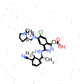 Cc1c(C#N)cccc1[C@@H](C)Nc1nnc(C)c2cc(Cl)c(N(C)C[C@H]3CCCN3C)cc12.O=CO